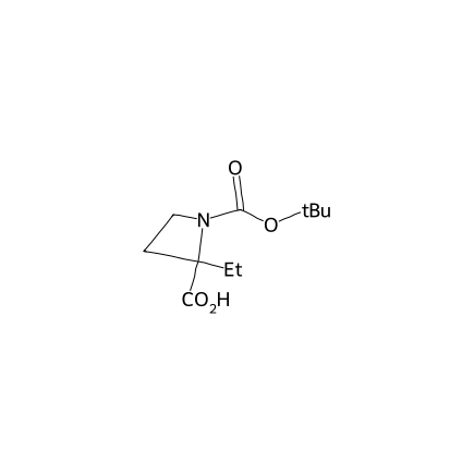 CCC1(C(=O)O)CCN1C(=O)OC(C)(C)C